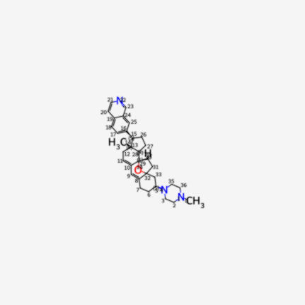 CN1CCN([C@H]2CCC3=CC4=CC[C@]5(C)[C@@H](c6ccc7ccncc7c6)CC[C@H]5[C@@]45CCC3(C2)O5)CC1